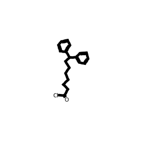 O=C(Cl)CCCCCCC(c1ccccc1)c1ccccc1